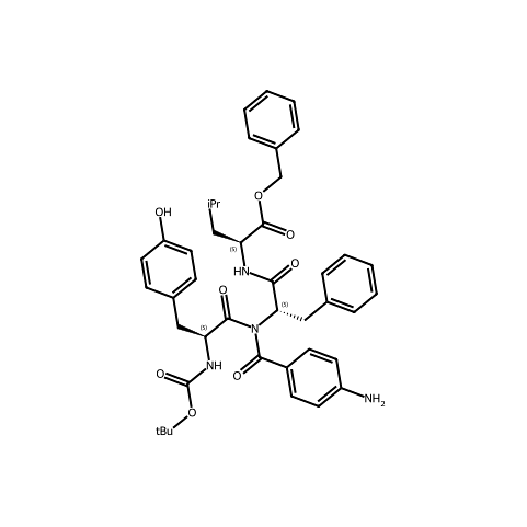 CC(C)C[C@H](NC(=O)[C@H](Cc1ccccc1)N(C(=O)c1ccc(N)cc1)C(=O)[C@H](Cc1ccc(O)cc1)NC(=O)OC(C)(C)C)C(=O)OCc1ccccc1